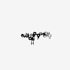 CN(C)CCOc1cc(F)cc(-c2cccc3[nH]c(-c4n[nH]c5ccc(-c6cncc(CN7CCCC7)c6)cc45)cc23)c1